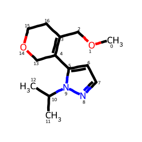 COCC1=C(c2ccnn2C(C)C)COCC1